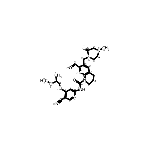 COC(C)COc1cc(NC(=O)N2CCCc3cc(CN4CCN(C)CC4=O)c(C=O)nc32)ncc1C#N